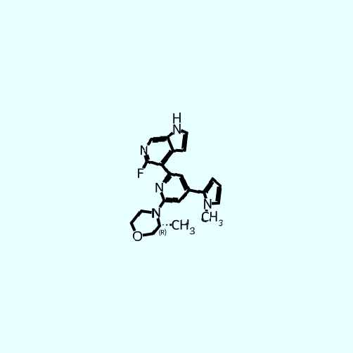 C[C@@H]1COCCN1c1cc(-c2cccn2C)cc(-c2c(F)ncc3[nH]ccc23)n1